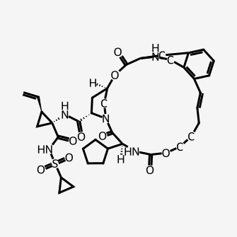 C=C[C@@H]1C[C@]1(NC(=O)[C@@H]1C[C@@H]2CN1C(=O)[C@H](C1CCCC1)NC(=O)OCCC/C=C/c1cccc3c1CNC(C3)C(=O)O2)C(=O)NS(=O)(=O)C1CC1